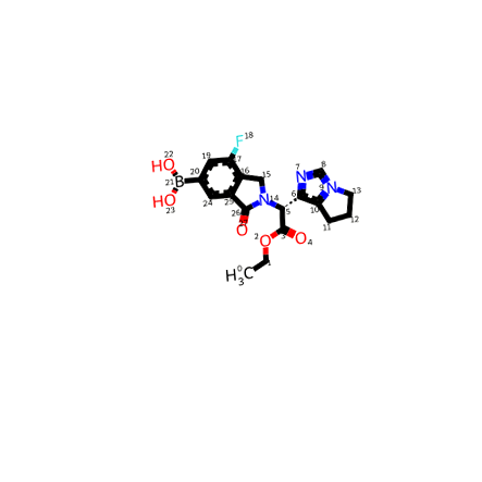 CCOC(=O)[C@@H](c1ncn2c1CCC2)N1Cc2c(F)cc(B(O)O)cc2C1=O